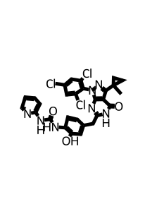 CC1(c2nn(-c3c(Cl)cc(Cl)cc3Cl)c3nc(Cc4ccc(NC(=O)Nc5ccccn5)c(O)c4)[nH]c(=O)c23)CC1